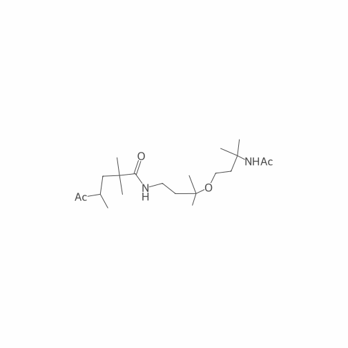 CC(=O)NC(C)(C)CCOC(C)(C)CCNC(=O)C(C)(C)CC(C)C(C)=O